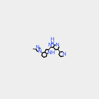 Cc1cn(-c2cccc3[nH]c(-c4n[nH]c5ncc(-c6cccnc6)cc45)cc23)cn1